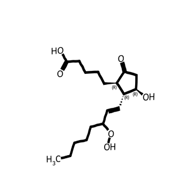 CCCCCC(C=C[C@H]1[C@H](O)CC(=O)[C@@H]1CCCCC(=O)O)OO